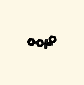 O=S(=O)(NC1CCCCC1)N1CCN(c2ccccc2)CC1